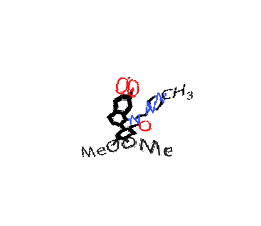 COc1cc2c(=O)n(CCN3CCN(C)CC3)c3c4cc5c(cc4ccc3c2cc1OC)OCO5